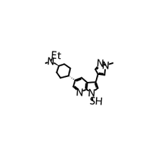 CCN(C)[C@H]1CC[C@H](c2cnc3c(c2)c(-c2cnn(C)c2)cn3S)CC1